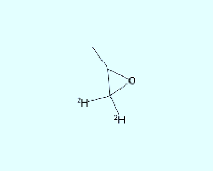 [2H]C1([2H])OC1C